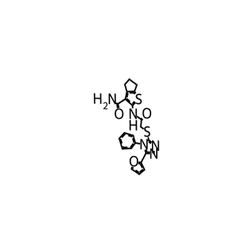 NC(=O)c1c(NC(=O)CSc2nnc(-c3ccco3)n2-c2ccccc2)sc2c1CCC2